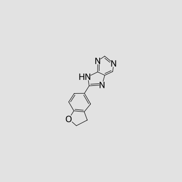 c1ncc2nc(-c3ccc4c(c3)CCO4)[nH]c2n1